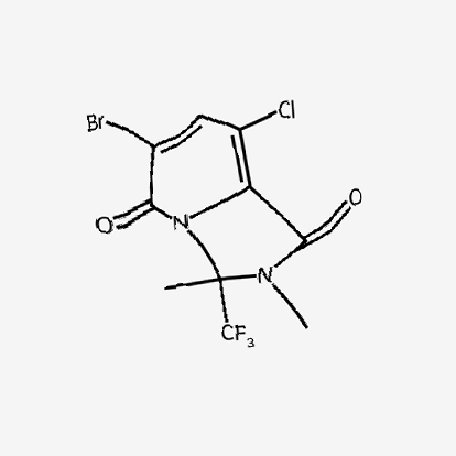 CN1C(=O)c2c(Cl)cc(Br)c(=O)n2C1(C)C(F)(F)F